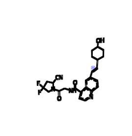 N#CC1CC(F)(F)CN1C(=O)CNC(=O)c1ccnc2ccc(/C=C/C3CCC(O)CC3)cc12